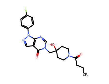 O=C(CCC(F)(F)F)N1CCC(O)(Cn2cnc3c(cnn3-c3ccc(F)cc3)c2=O)CC1